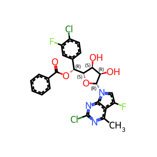 Cc1nc(Cl)nc2c1c(F)cn2[C@@H]1O[C@H]([C@H](OC(=O)c2ccccc2)c2ccc(Cl)c(F)c2)[C@@H](O)[C@H]1O